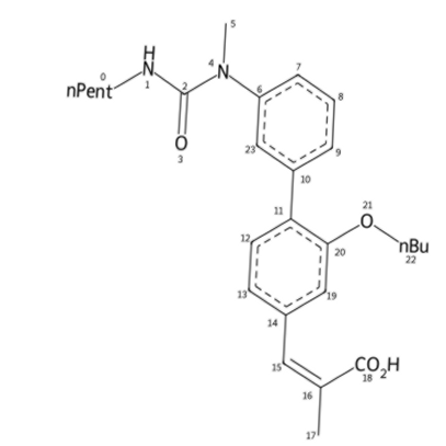 CCCCCNC(=O)N(C)c1cccc(-c2ccc(/C=C(/C)C(=O)O)cc2OCCCC)c1